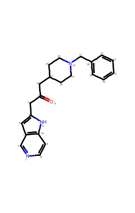 O=C(Cc1cc2cnccc2[nH]1)CC1CCN(Cc2ccccc2)CC1